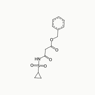 O=C(CC(=O)OCc1ccccc1)NS(=O)(=O)C1CC1